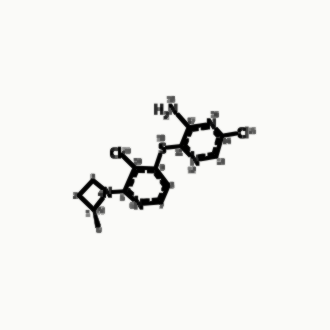 C[C@H]1CCN1c1nccc(Sc2ncc(Cl)nc2N)c1Cl